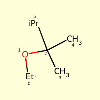 C[CH]OC(C)(C)C(C)C